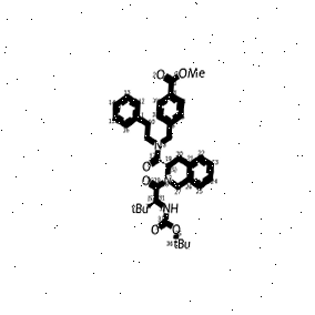 COC(=O)c1ccc(CN(CCc2ccccc2)C(=O)[C@@H]2Cc3ccccc3CN2C(=O)[C@@H](NC(=O)OC(C)(C)C)C(C)(C)C)cc1